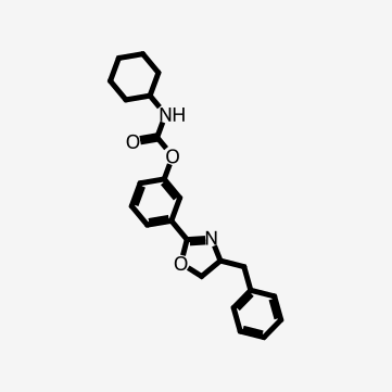 O=C(NC1CCCCC1)Oc1cccc(C2=NC(Cc3ccccc3)CO2)c1